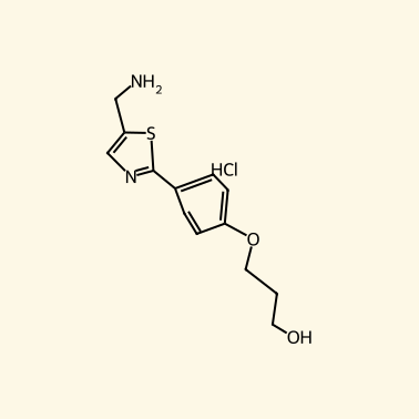 Cl.NCc1cnc(-c2ccc(OCCCO)cc2)s1